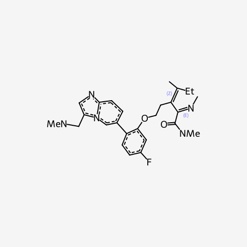 CC/C(C)=C(CCOc1cc(F)ccc1-c1ccc2ncc(CNC)n2c1)\C(=N/C)C(=O)NC